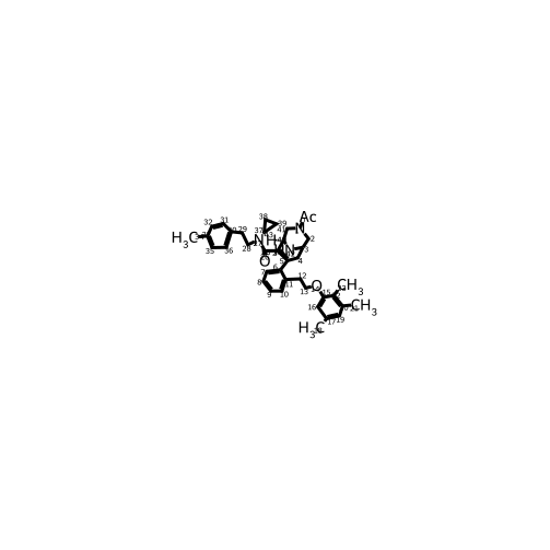 CC(=O)N1CC2CC(c3ccccc3CCOc3cc(C)cc(C)c3C)=C(C(=O)N(CCc3ccc(C)cc3)C3CC3)[C@@H](C1)N2